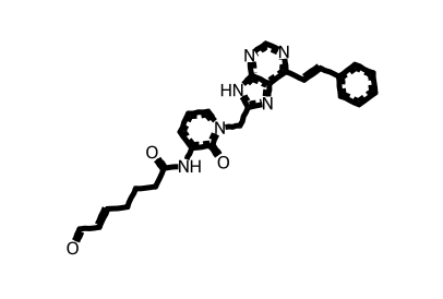 O=C/C=C/CCCC(=O)Nc1cccn(Cc2nc3c(/C=C/c4ccccc4)ncnc3[nH]2)c1=O